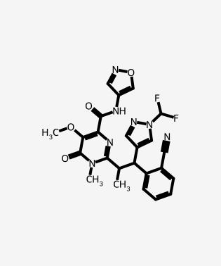 COc1c(C(=O)Nc2cnoc2)nc(C(C)C(c2cnn(C(F)F)c2)c2ccccc2C#N)n(C)c1=O